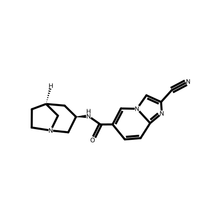 N#Cc1cn2cc(C(=O)N[C@@H]3C[C@@H]4CCN(C4)C3)ccc2n1